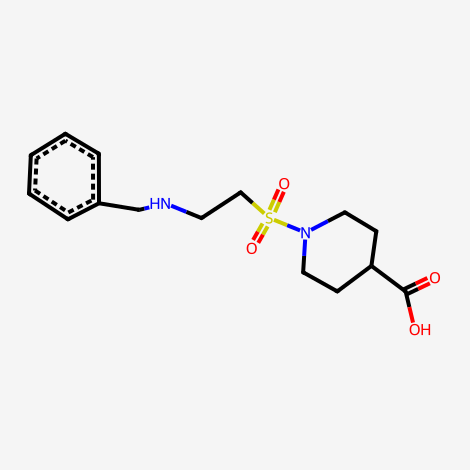 O=C(O)C1CCN(S(=O)(=O)CCNCc2ccccc2)CC1